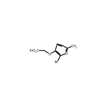 CCOC(=O)COc1ccc(C)nc1Br